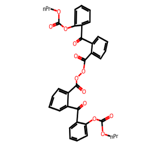 CCCOC(=O)Oc1ccccc1C(=O)c1ccccc1C(=O)OOC(=O)c1ccccc1C(=O)c1ccccc1OC(=O)OCCC